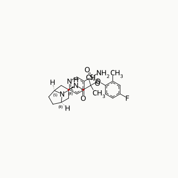 Cc1cc(F)ccc1OC(C)(C)C(=O)N[C@H]1C[C@H]2CC[C@@H](C1)N2c1ccc(S(N)(=O)=O)cn1